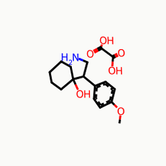 COc1ccc(C(CN)C2(O)CCCCC2)cc1.O=C(O)C(=O)O